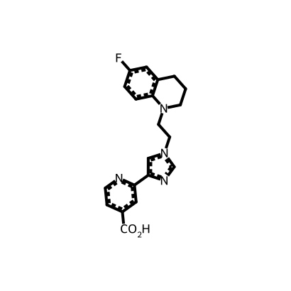 O=C(O)c1ccnc(-c2cn(CCN3CCCc4cc(F)ccc43)cn2)c1